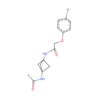 O=C(I)NC12CC(NC(=O)COc3ccc(Cl)cc3)(C1)C2